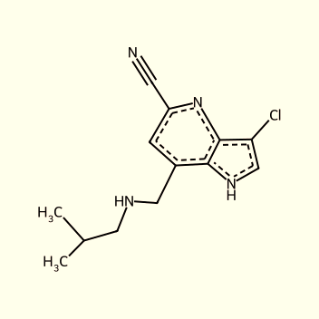 CC(C)CNCc1cc(C#N)nc2c(Cl)c[nH]c12